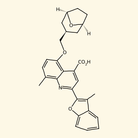 Cc1c(-c2cc(C(=O)O)c3c(OC[C@H]4C[C@H]5CC[C@@H](C4)O5)ccc(C)c3n2)oc2ccccc12